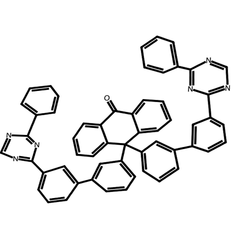 O=C1c2ccccc2C(c2cccc(-c3cccc(-c4ncnc(-c5ccccc5)n4)c3)c2)(c2cccc(-c3cccc(-c4ncnc(-c5ccccc5)n4)c3)c2)c2ccccc21